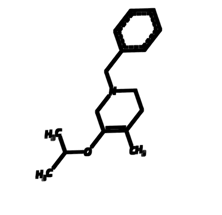 CC1=C(OC(C)C)CN(Cc2ccccc2)CC1